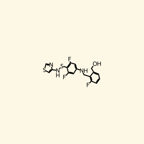 OCc1cccc(F)c1CNc1cc(F)c(SNc2cscn2)c(F)c1